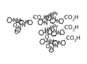 CCCN(C)c1nc(N2CCC[C@@H](CC(=O)O)C2)ccc1C(=O)N(C)C1CCCCC1.CCCNc1nc(N2CCC[C@@H](CC(=O)O)C2)ccc1C(=O)N(C)C1CCCCC1.O=C(O)C[C@@H]1CCCN(c2ccc(C(=O)NC3CCCCC3)c(N3CCCC3)n2)C1.O=C(O)C[C@@H]1CCCN(c2ccc(C(=O)NC3CCCCC3)c(N3CCOCC3)n2)C1